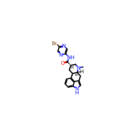 CN1C[C@H](C(=O)Nc2cnc(Br)cn2)CC2c3cccc4[nH]cc(c34)C[C@H]21